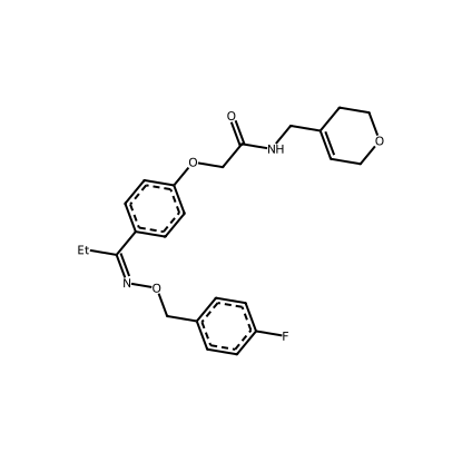 CCC(=NOCc1ccc(F)cc1)c1ccc(OCC(=O)NCC2=CCOCC2)cc1